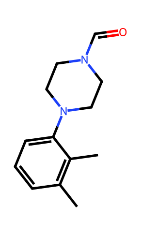 Cc1cccc(N2CCN(C=O)CC2)c1C